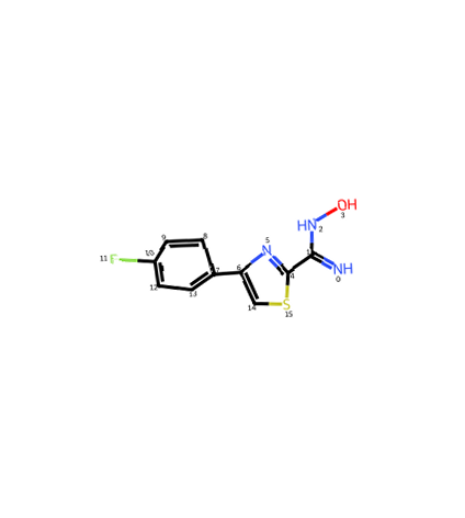 N=C(NO)c1nc(-c2ccc(F)cc2)cs1